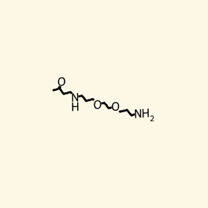 CC(=O)CCNCCCOCCOCCCN